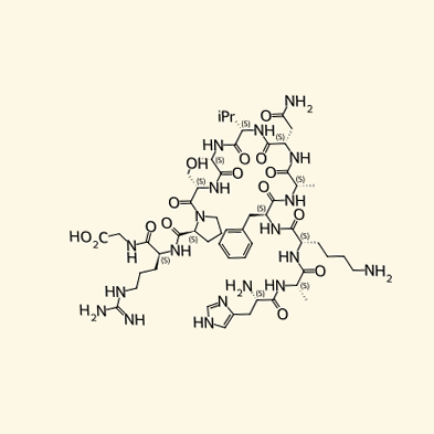 CC(C)[C@H](NC(=O)[C@H](CC(N)=O)NC(=O)[C@H](C)NC(=O)[C@H](Cc1ccccc1)NC(=O)[C@H](CCCCN)NC(=O)[C@H](C)NC(=O)[C@@H](N)Cc1c[nH]cn1)C(=O)N[C@@H](C)C(=O)N[C@@H](CO)C(=O)N1CCC[C@H]1C(=O)N[C@@H](CCCNC(=N)N)C(=O)NCC(=O)O